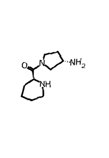 N[C@H]1CCN(C(=O)[C@@H]2CCCCN2)C1